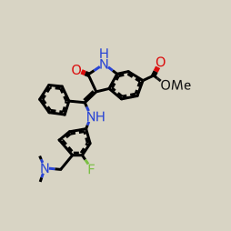 COC(=O)c1ccc2c(c1)NC(=O)C2=C(Nc1ccc(CN(C)C)c(F)c1)c1ccccc1